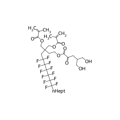 C=C(C)C(=O)OCC(CCOC(=O)C(=O)CC(CO)CO)(COC(=O)C(=C)C)CC(F)(F)C(F)(F)C(F)(F)C(F)(F)C(F)(F)C(F)(F)CCCCCCC